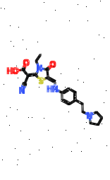 CCn1c(=C(C#N)C(=O)O)sc(=CNc2ccc(CCN3CCCC3)cc2)c1=O